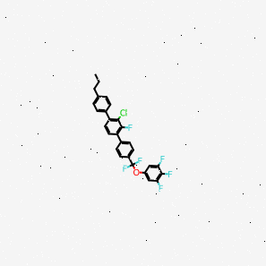 CCCc1ccc(-c2ccc(-c3ccc(C(F)(F)Oc4cc(F)c(F)c(F)c4)cc3)c(F)c2Cl)cc1